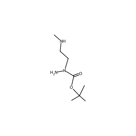 CNCCN(N)C(=O)OC(C)(C)C